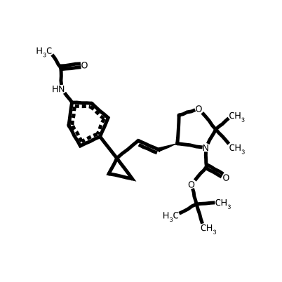 CC(=O)Nc1ccc(C2(/C=C/[C@H]3COC(C)(C)N3C(=O)OC(C)(C)C)CC2)cc1